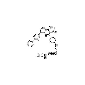 COCCO[C@H]1CC[C@H](c2nc3c(-c4ccc(-c5ccccc5)nc4)cnn3c(N)c2C(C)=O)CC1.O=C(O)O